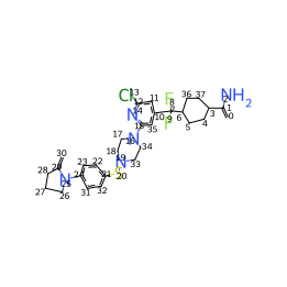 C=C(N)C1CCC(C(F)(F)c2cc(Cl)nc(N3CCN(Sc4ccc(N5CCCC5=C)cc4)CC3)c2)CC1